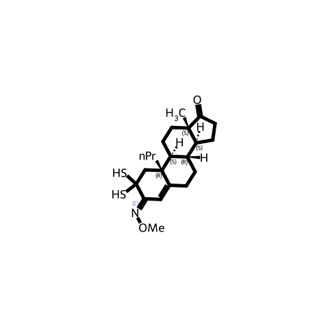 CCC[C@]12CC(S)(S)/C(=N/OC)C=C1CC[C@@H]1[C@@H]2CC[C@]2(C)C(=O)CC[C@@H]12